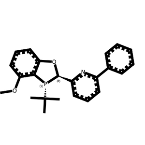 COc1cccc2c1[P@@](C(C)(C)C)[C@H](c1cccc(-c3ccccc3)n1)O2